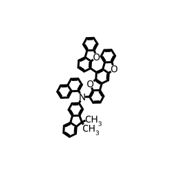 CC1(C)c2ccccc2-c2ccc(N(c3cccc4ccccc34)c3cccc4c3oc3c(-c5cccc6c5oc5ccccc56)c5c(cc34)oc3ccccc35)cc21